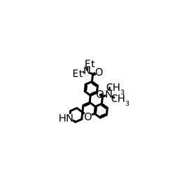 CCN(CC)C(=O)c1ccc(C2=CC3(CCNCC3)Oc3cccc(C(=O)N(C)C)c32)cc1